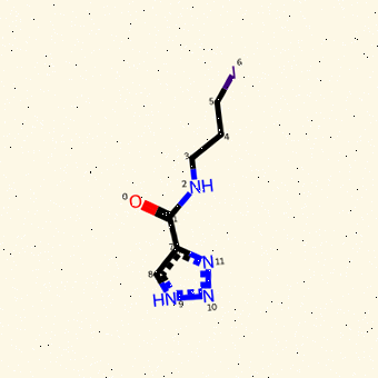 O=C(NCCCI)c1c[nH]nn1